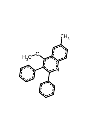 COc1c(-c2ccccc2)c(-c2ccccc2)nc2ccc(C)cc12